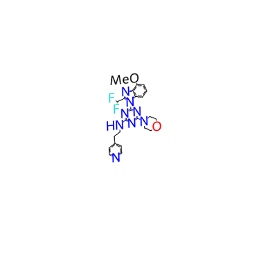 COc1cccc2c1nc(C(F)F)n2-c1nc(NCCc2ccncc2)nc(N2CCOCC2)n1